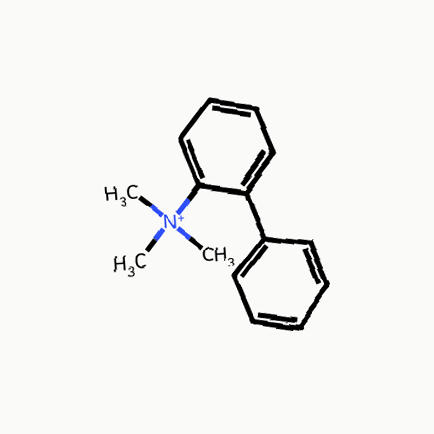 C[N+](C)(C)c1ccccc1-c1ccccc1